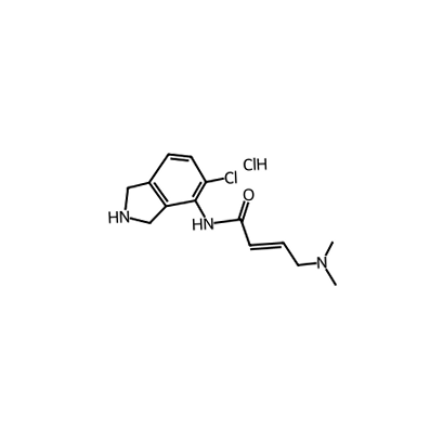 CN(C)C/C=C/C(=O)Nc1c(Cl)ccc2c1CNC2.Cl